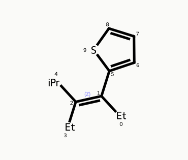 CC/C(=C(\CC)C(C)C)c1cccs1